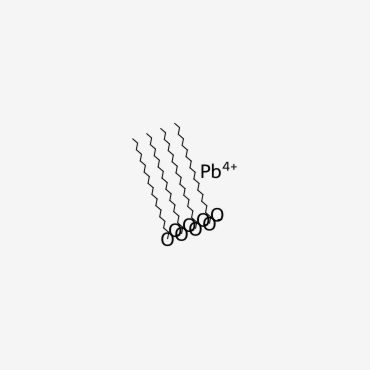 CCCCCCCCCCCCCCCCCC(=O)[O-].CCCCCCCCCCCCCCCCCC(=O)[O-].CCCCCCCCCCCCCCCCCC(=O)[O-].CCCCCCCCCCCCCCCCCC(=O)[O-].[Pb+4]